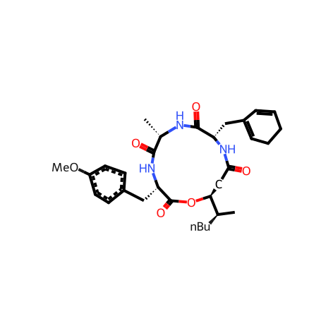 CCCC[C@H](C)[C@@H]1CC(=O)N[C@@H](CC2=CCCC=C2)C(=O)N[C@@H](C)C(=O)N[C@@H](Cc2ccc(OC)cc2)C(=O)O1